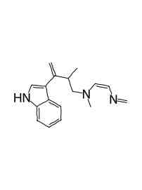 C=N/C=C\N(C)CC(C)C(=C)c1c[nH]c2ccccc12